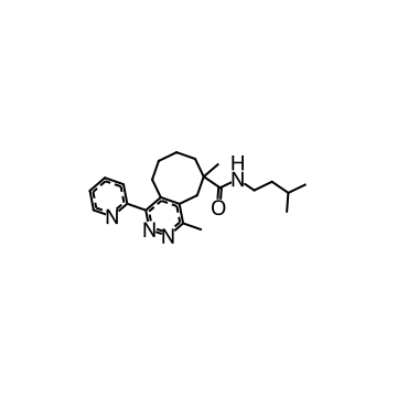 Cc1nnc(-c2ccccn2)c2c1CC(C)(C(=O)NCCC(C)C)CCCC2